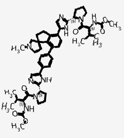 COC(=O)N[C@H](C(=O)N1CCC[C@H]1c1ncc(-c2ccc(-c3ccc(-c4cnc([C@@H]5CCCN5C(=O)[C@@H](NC(=O)OC)C(C)C)[nH]4)c4c3C3(CC4)CCN(C)C3)cc2)[nH]1)C(C)C